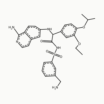 CCOc1cc(C(Nc2ccc3c(N)nccc3c2)C(=O)NS(=O)(=O)c2cccc(CN)c2)ccc1OC(C)C